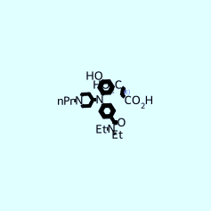 CCCN1CCC(N(c2ccc(C(=O)N(CC)CC)cc2)c2cccc(O)c2)CC1.O=C(O)/C=C/C(=O)O